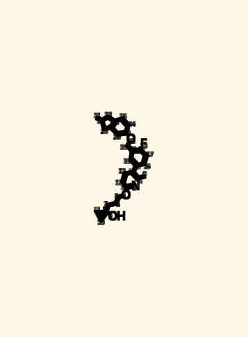 Cc1nc(OCCCC2(O)CC2)ccc1-c1ccc(F)c(COc2ccc3c(c2)CC(C)C3)c1